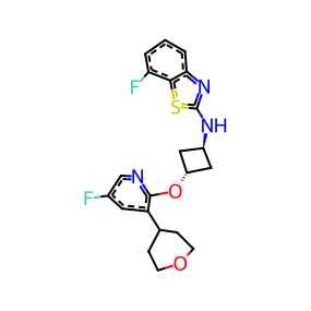 Fc1cnc(O[C@H]2C[C@H](Nc3nc4cccc(F)c4s3)C2)c(C2CCOCC2)c1